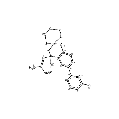 CN/C(N)=N\[C@@]1(C(C)=O)C[C@@]2(CCCOC2)Oc2ccc(-c3cccc(Cl)n3)cc21